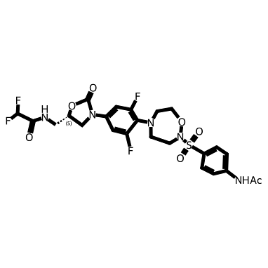 CC(=O)Nc1ccc(S(=O)(=O)N2CCN(c3c(F)cc(N4C[C@H](CNC(=O)C(F)F)OC4=O)cc3F)CCO2)cc1